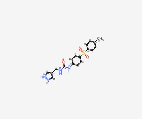 Cc1ccc(S(=O)(=O)c2ccc(NC(=O)NCc3cn[nH]c3)cc2)cc1